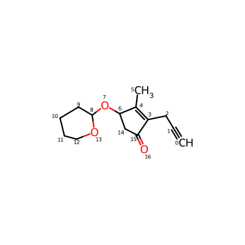 C#CCC1=C(C)C(OC2CCCCO2)CC1=O